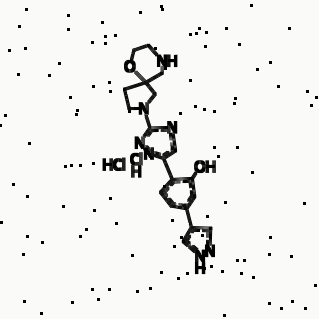 Cl.Cl.Oc1cc(-c2cn[nH]c2)ccc1-c1cnc(N2CCC3(CNCCO3)C2)nn1